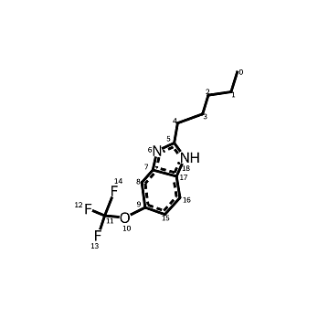 CCCCCc1nc2cc(OC(F)(F)F)ccc2[nH]1